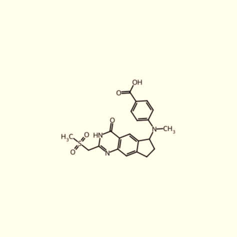 CN(c1ccc(C(=O)O)cc1)C1CCc2cc3nc(CS(C)(=O)=O)[nH]c(=O)c3cc21